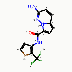 Nc1ccc2ccc(C(=O)Nc3ccsc3C(F)(F)F)n2n1